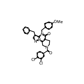 COc1ccc(Cn2c(=O)c3c(n4ncc(Cc5ccccc5)c24)CN(C(=O)c2ccc(Cl)c(Cl)c2)CC3)cc1